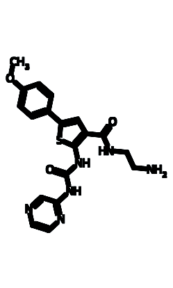 COc1ccc(-c2cc(C(=O)NCCN)c(NC(=O)Nc3cnccn3)s2)cc1